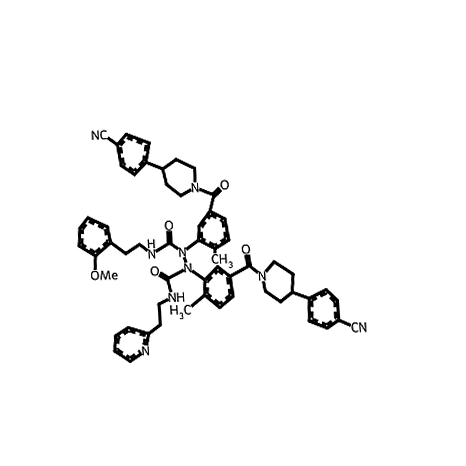 COc1ccccc1CCNC(=O)N(c1cc(C(=O)N2CCC(c3ccc(C#N)cc3)CC2)ccc1C)N(C(=O)NCCc1ccccn1)c1cc(C(=O)N2CCC(c3ccc(C#N)cc3)CC2)ccc1C